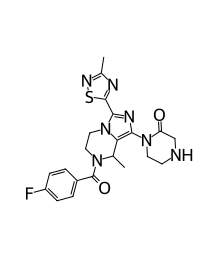 Cc1nsc(-c2nc(N3CCNCC3=O)c3n2CCN(C(=O)c2ccc(F)cc2)C3C)n1